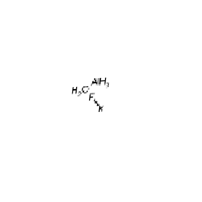 O.[AlH3].[F][K]